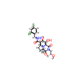 COCCN1C(=O)c2c(O)c(=O)c(C(=O)NCc3ccc(F)cc3F)c3n2[C@H](CC3)[C@@H]1OC